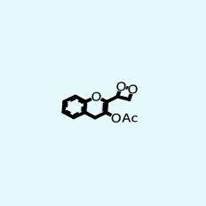 CC(=O)OC1=C(C2COO2)Oc2ccccc2C1